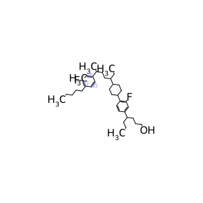 C\C=C(/C=C\C(=C\F)CCCCC)C(C)CCC(CC)C1CCC(c2ccc(C(CCC)CCCO)cc2F)CC1